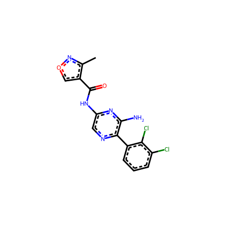 Cc1nocc1C(=O)Nc1cnc(-c2cccc(Cl)c2Cl)c(N)n1